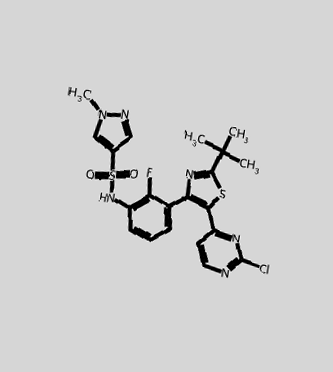 Cn1cc(S(=O)(=O)Nc2cccc(-c3nc(C(C)(C)C)sc3-c3ccnc(Cl)n3)c2F)cn1